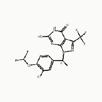 C[C@@H](c1ccc(OC(F)F)c(Cl)c1)n1nc(C(F)(F)F)c2c(=O)[nH]c(O)nc21